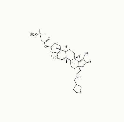 CC(C)C1=C2[C@H]3CC[C@@H]4[C@@]5(C)CC[C@H](OC(=O)CC(C)(C)C(=O)O)C(C)(C)[C@@H]5CC[C@@]4(C)[C@]3(C)CC[C@@]2(CCNCC2CCCC2)CC1=O